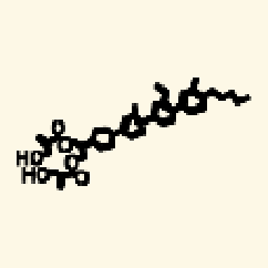 C=C(CO)C(=O)OCC(COC(=O)C(=C)CO)C1CCC(c2ccc(-c3ccc(-c4ccc(CCCCC)c(C)c4)c(CC)c3)c(C)c2)CC1